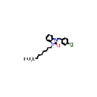 O=C(O)CCCCCCCn1c(=O)n(Cc2ccc(Cl)cc2)c2ccccc21